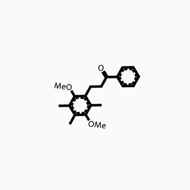 COc1c(C)c(C)c(OC)c(CCC(=O)c2ccccc2)c1C